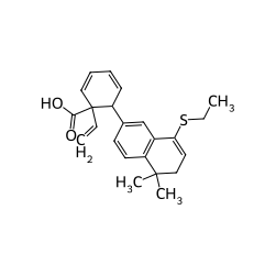 C=CC1(C(=O)O)C=CC=CC1c1ccc2c(c1)C(SCC)=CCC2(C)C